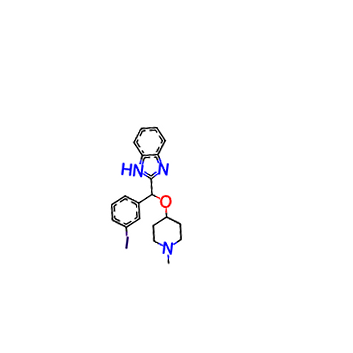 CN1CCC(OC(c2cccc(I)c2)c2nc3ccccc3[nH]2)CC1